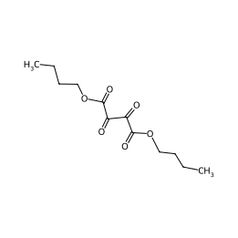 CCCCOC(=O)C(=O)C(=O)C(=O)OCCCC